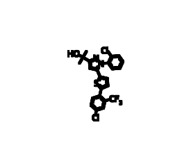 CC(C)(O)c1cc(-c2ccc(-c3ccc(Cl)cc3C(F)(F)F)s2)n(-c2ccccc2Cl)n1